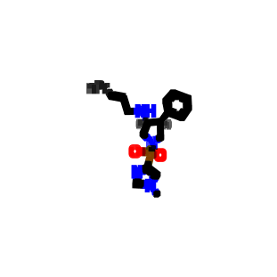 CCCC=CCN[C@H]1CN(S(=O)(=O)c2cn(C)cn2)C[C@@H]1c1ccccc1